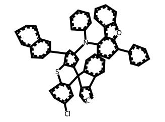 Clc1ccc2c(c1)C1(c3ccccc3-c3ccccc31)c1cc(N(c3ccccc3)c3ccc(-c4ccccc4)c4oc5ccccc5c34)cc(-c3ccc4ccccc4c3)c1S2